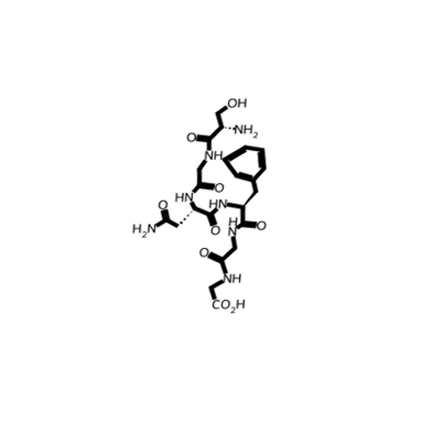 NC(=O)C[C@H](NC(=O)CNC(=O)[C@@H](N)CO)C(=O)N[C@@H](Cc1ccccc1)C(=O)NCC(=O)NCC(=O)O